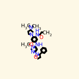 C=CC(=O)Nc1cc(Nc2cc(N3OCCC3c3ccccc3)ncn2)c(OC)cc1N1CCC(N(C)C)C1